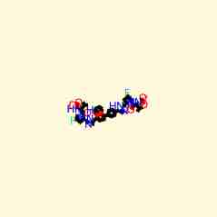 COC(=O)N[C@H](C(=O)N1C[C@H](F)C[C@H]1c1ncc(-c2ccc(-c3ccc(-c4cnc([C@@H]5C[C@@H](F)CN5C(=O)[C@@H](NC(=O)OC)C(C)C)[nH]4)c4c3C3CCC4CC3)cc2)[nH]1)C(C)C